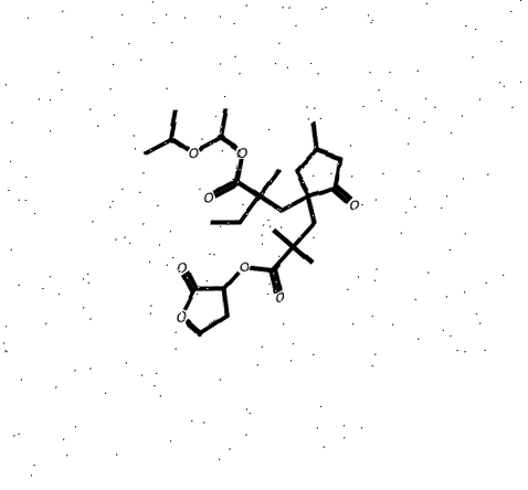 CCC(C)(CC1(CC(C)(C)C(=O)OC2CCOC2=O)CC(C)CC1=O)C(=O)OC(C)OC(C)C